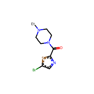 CCN1CCN(C(=O)c2ncc(Br)s2)CC1